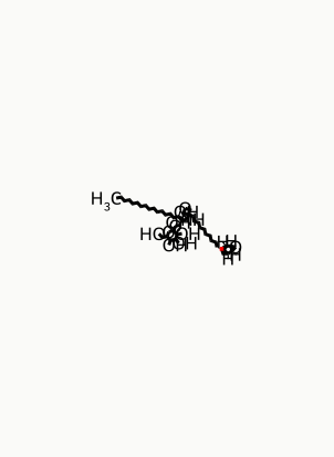 CCCCCCCCCCCCCC[C@@H](O)[C@@H](O)[C@H](COC1OC(CO)C(O)C(O)C1O)NC1(CCCCCCCCCC[C@H]2C[C@@H]3C[C@H]2[C@H]2O[C@@H]32)COC1